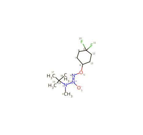 CN(/[N+]([O-])=N/OC1CCC(F)(F)CC1)C(C)(C)C